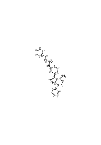 NC1=CCN(c2cccnc2)c2scc(-c3cccc(NC(=O)NCc4ccccc4)c3)c21